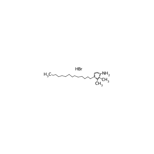 Br.CCCCCCCCCCCCCCc1ccc(N)c(C)c1C